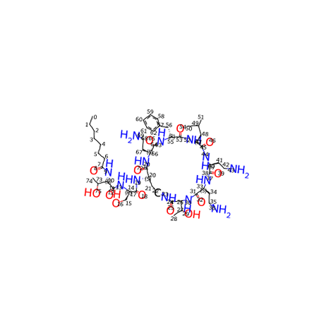 CCCCCCCC(=O)N[C@H](C(=O)N[C@H](CO)C(=O)N[C@H]1CCNC(=O)C(C(C)O)NC(=O)[C@H](CCN)NC(=O)[C@H](CCN)NC(=O)[C@H](CC(C)C)NC(=O)[C@@H](Cc2ccccc2)NC(=O)[C@H](CCN)NC1=O)C(C)O